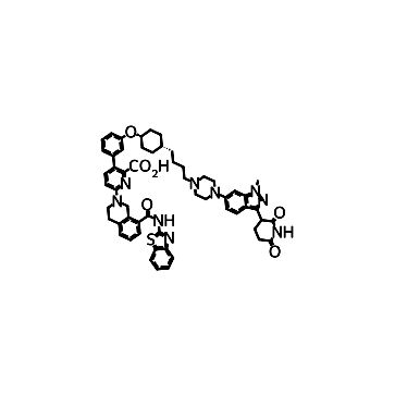 Cn1nc(C2CCC(=O)NC2=O)c2ccc(N3CCN(CCCC[C@H]4CC[C@H](Oc5cccc(-c6ccc(N7CCc8cccc(C(=O)Nc9nc%10ccccc%10s9)c8C7)nc6C(=O)O)c5)CC4)CC3)cc21